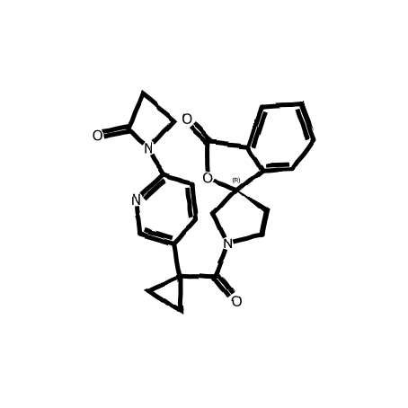 O=C1O[C@]2(CCN(C(=O)C3(c4ccc(N5CCC5=O)nc4)CC3)C2)c2ccccc21